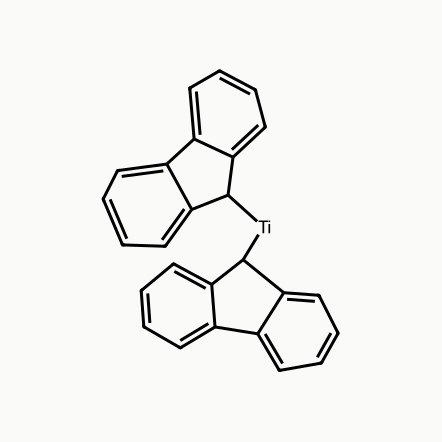 c1ccc2c(c1)-c1ccccc1[CH]2[Ti][CH]1c2ccccc2-c2ccccc21